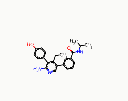 CCc1c(-c2cccc(C(=O)NC(C)C)c2)cnc(N)c1-c1ccc(O)cc1